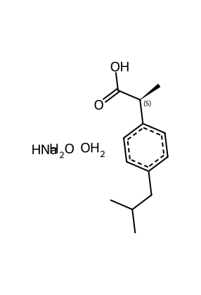 CC(C)Cc1ccc([C@H](C)C(=O)O)cc1.O.O.[NaH]